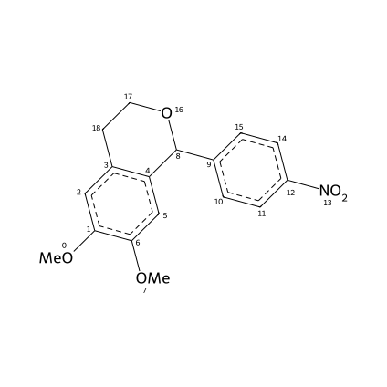 COc1cc2c(cc1OC)C(c1ccc([N+](=O)[O-])cc1)OCC2